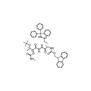 C[C@@H](OC(C)(C)C)[C@H](OC(N)=O)C(=O)NNC(=O)[C@H](CCC(=O)NC(c1ccccc1)(c1ccccc1)c1ccccc1)NC(=O)OCC1c2ccccc2-c2ccccc21